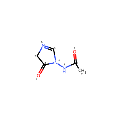 CC(=O)NN1C=NCC1=O